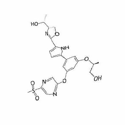 C[C@@H](CO)Oc1cc(Oc2cnc(S(C)(=O)=O)cn2)cc(-c2ccc(C3=N[C@H]([C@@H](C)O)CO3)[nH]2)c1